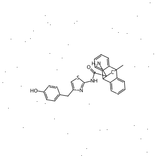 CC12CC(N)(C(=O)Nc3nc(Cc4ccc(O)cc4)cs3)C(c3ccccc31)c1ccccc12